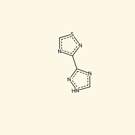 c1nc(-c2ncsn2)n[nH]1